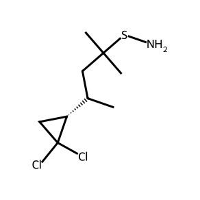 CC(CC(C)(C)SN)[C@H]1CC1(Cl)Cl